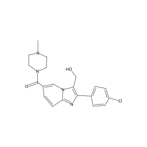 CN1CCN(C(=O)c2ccc3nc(-c4ccc(Cl)cc4)c(CO)n3c2)CC1